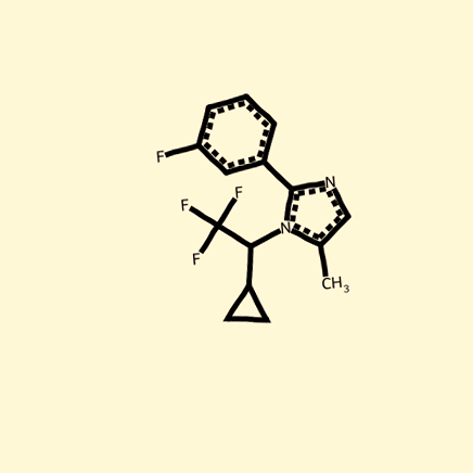 Cc1cnc(-c2cccc(F)c2)n1C(C1CC1)C(F)(F)F